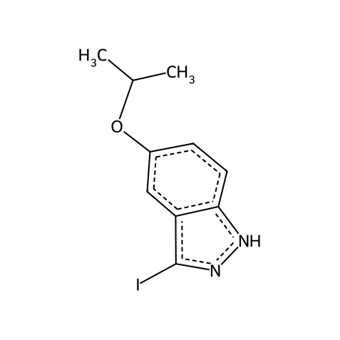 CC(C)Oc1ccc2[nH]nc(I)c2c1